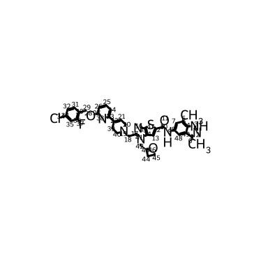 Cc1n[nH]c2c(C)cc(NC(=O)c3cc4c(nc(CN5CC=C(c6cccc(OCc7ccc(Cl)cc7F)n6)CC5)n4C[C@@H]4CCO4)s3)cc12